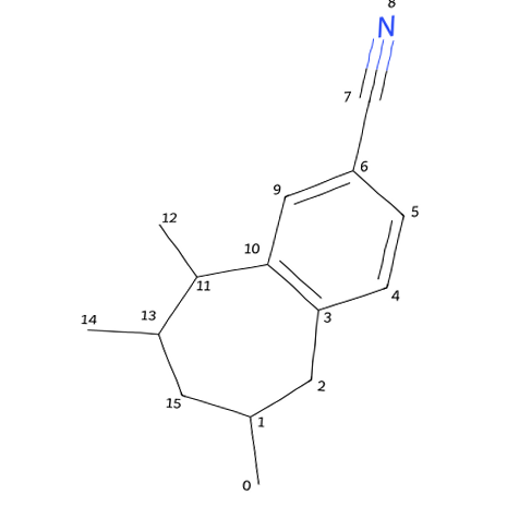 CC1Cc2ccc(C#N)cc2C(C)C(C)C1